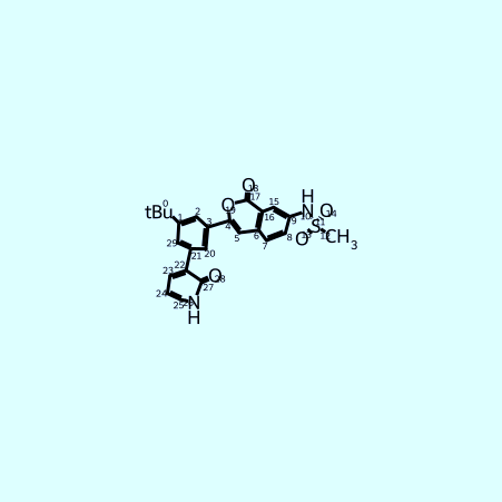 CC(C)(C)c1cc(-c2cc3ccc(NS(C)(=O)=O)cc3c(=O)o2)cc(-c2ccc[nH]c2=O)c1